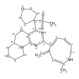 C=C1/C=C(/C)NC/C=C\C=C/1c1nc2c(c(C3(S(C)(=O)=O)CCOCC3)n1)OCC1COCCN21